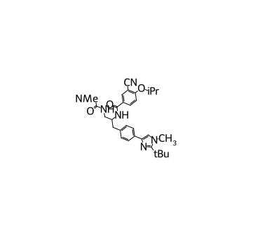 CNC(=O)NCC(Cc1ccc(-c2cn(C)c(C(C)(C)C)n2)cc1)NC(=O)c1ccc(OC(C)C)c(C#N)c1